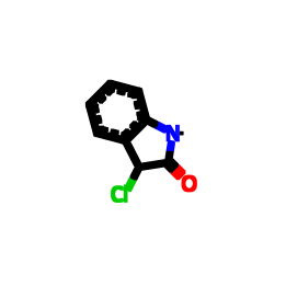 O=C1[N]c2ccccc2C1Cl